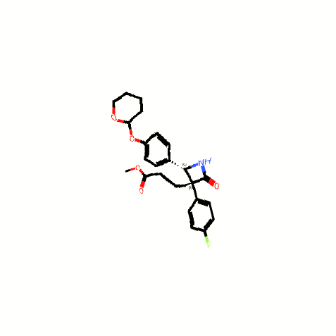 COC(=O)CC[C@]1(c2ccc(F)cc2)C(=O)N[C@H]1c1ccc(OC2CCCCO2)cc1